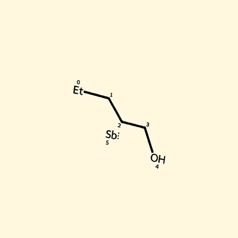 CCCCCO.[Sb]